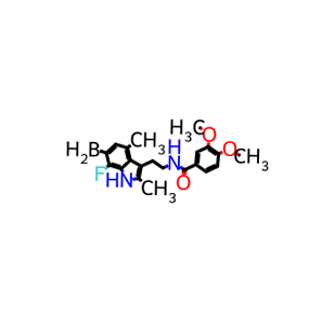 Bc1cc(C)c2c(CCNC(=O)c3ccc(OC)c(OC)c3)c(C)[nH]c2c1F